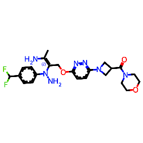 C/C(N)=C(\COc1ccc(N2CC(C(=O)N3CCOCC3)C2)nn1)N(N)c1ccc(C(F)F)cc1